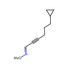 CON=CC#CCCCC1[CH]C1